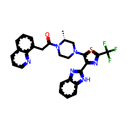 C[C@@H]1CN(c2sc(C(F)(F)F)nc2-c2nc3ccccc3[nH]2)CCN1C(=O)Cc1cccc2cccnc12